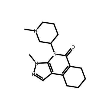 CN1CCCC(n2c(=O)c3c(c4cnn(C)c42)CCCC3)C1